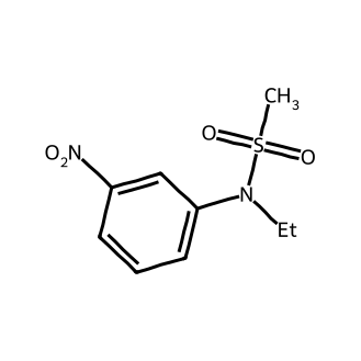 CCN(c1cccc([N+](=O)[O-])c1)S(C)(=O)=O